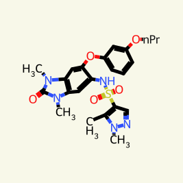 CCCOc1cccc(Oc2cc3c(cc2NS(=O)(=O)c2cnn(C)c2C)n(C)c(=O)n3C)c1